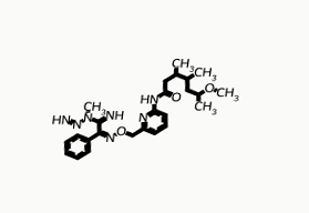 COC(C)CC(C)C(C)CC(=O)Nc1cccc(CO/N=C(\C(=N)N(C)N=N)c2ccccc2)n1